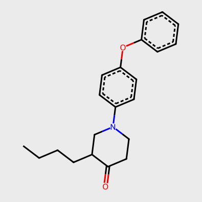 CCCCC1CN(c2ccc(Oc3ccccc3)cc2)CCC1=O